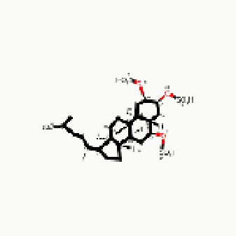 CC(CC[C@@H](C)C1CC[C@H]2[C@@H]3C[C@H](OS(=O)(=O)O)[C@H]4C[C@H](OS(=O)(=O)O)[C@H](OS(=O)(=O)O)C[C@]4(C)[C@@]3(C)CC[C@]12C)C(C)(C)C